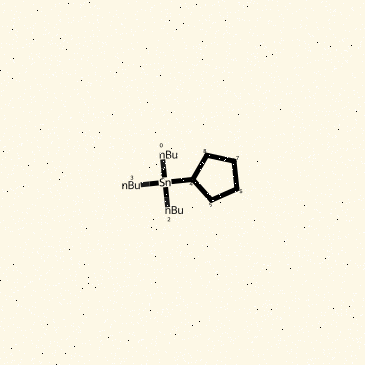 CCC[CH2][Sn]([CH2]CCC)([CH2]CCC)[CH]1CCCC1